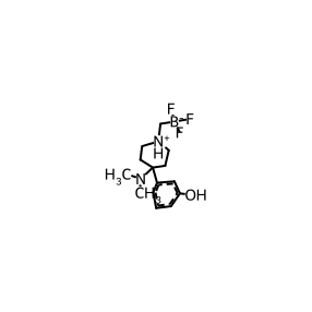 CN(C)C1(c2cccc(O)c2)CC[NH+](C[B-](F)(F)F)CC1